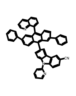 N#Cc1ccc2c(c1)c1cc(-c3c4cc(-c5ccccc5)ccc4c(-c4cccc5cccnc45)c4cc(-c5ccccc5)ccc34)ccc1n2-c1ccccn1